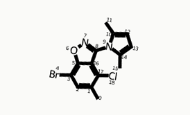 Cc1cc(Br)c2onc(-n3c(C)ccc3C)c2c1Cl